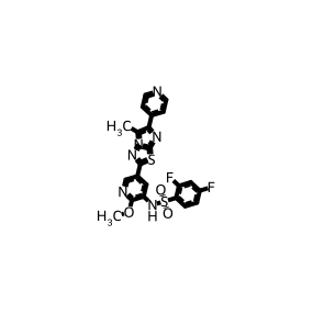 COc1ncc(-c2nn3c(C)c(-c4ccncc4)nc3s2)cc1NS(=O)(=O)c1ccc(F)cc1F